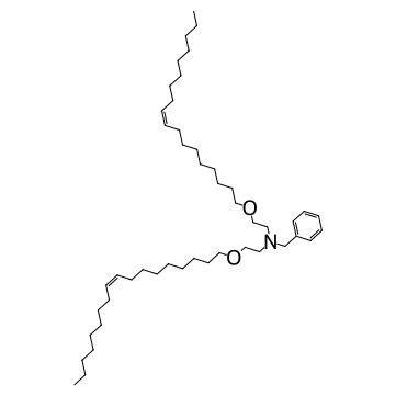 CCCCCCCC/C=C\CCCCCCCCOCCN(CCOCCCCCCCC/C=C\CCCCCCCC)Cc1ccccc1